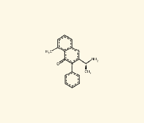 Cc1cccc2nc([C@H](C)N)n(-c3ccccc3)c(=O)c12